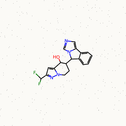 OC1c2cc(C(F)F)nn2CCC1C1c2ccccc2-c2cncn21